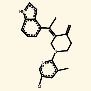 C=C1CCN(c2ncc(Cl)cc2C)C/C1=C(/C)c1cccc2[nH]ccc12